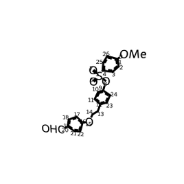 COc1ccc(S(=O)(=O)Oc2ccc(CCOc3ccc(C=O)cc3)cc2)cc1